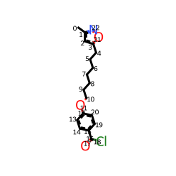 Cc1cc(CCCCCCCOc2ccc(C(=O)Cl)cc2)on1